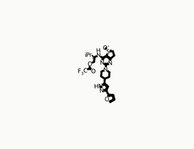 CC(C)[C@H](COC(=O)C(F)(F)F)Nc1nc(N2CCC(c3cc(-c4ccco4)n[nH]3)CC2)nc2c1[S+]([O-])CC2